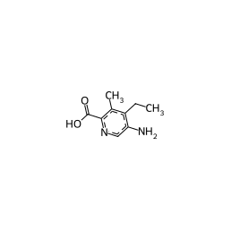 CCc1c(N)cnc(C(=O)O)c1C